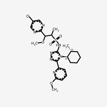 COc1cccc(-c2nnc(NS(=O)(=O)C(C)C(OC)c3ncc(Cl)cn3)n2[C@@H]2CCCC[C@H]2C)n1